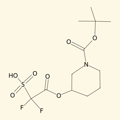 CC(C)(C)OC(=O)N1CCCC(OC(=O)C(F)(F)S(=O)(=O)O)C1